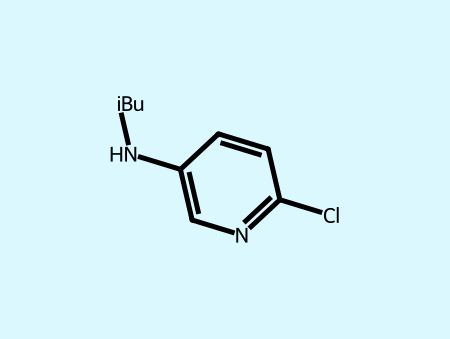 CCC(C)Nc1ccc(Cl)nc1